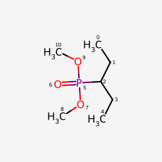 CCC(CC)P(=O)(OC)OC